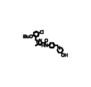 Cc1cc(C(=O)Nc2ccc(CN3CCC(O)CC3)cc2)nn1Cc1cc(Cl)ccc1OCC(C)C